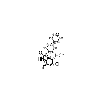 Cl.O=c1[nH]c2c(F)cc(Cl)cc2n1C1CCN(C2CCOCC2)CC1